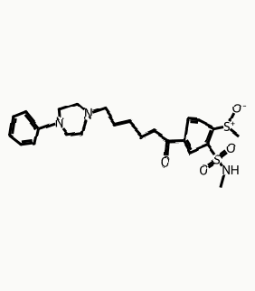 CNS(=O)(=O)c1cc(C(=O)CCCCCN2CCN(c3ccccc3)CC2)ccc1[S+](C)[O-]